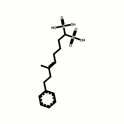 C/C(=C\CCCC(P(=O)(O)O)S(=O)(=O)O)CCc1ccccc1